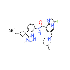 C[C@H]1CCCN(Cc2cc(C(=O)Nc3cccc([C@]4(c5nncn5C)C[C@@H](CC#N)C4)c3)c3ncc(F)n3c2)C1